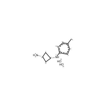 Cc1ccc(N[C@H]2C[C@@H](N)C2)nc1.Cl.Cl